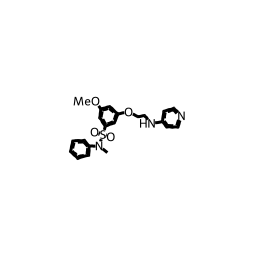 COc1cc(OCCNc2ccncc2)cc(S(=O)(=O)N(C)c2ccccc2)c1